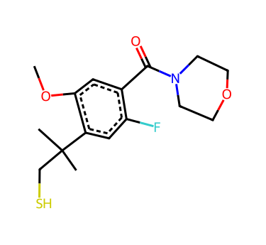 COc1cc(C(=O)N2CCOCC2)c(F)cc1C(C)(C)CS